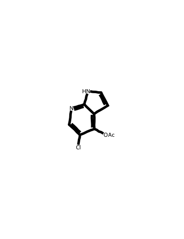 CC(=O)Oc1c(Cl)cnc2[nH]ccc12